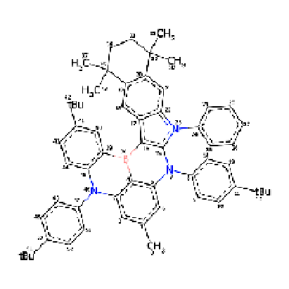 Cc1cc2c3c(c1)N(c1ccc(C(C)(C)C)cc1)c1c(c4cc5c(cc4n1-c1ccccc1)C(C)(C)CCC5(C)C)B3c1cc(C(C)(C)C)ccc1N2c1ccc(C(C)(C)C)cc1